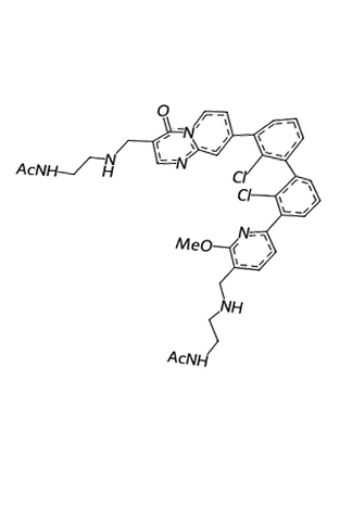 COc1nc(-c2cccc(-c3cccc(-c4ccn5c(=O)c(CNCCNC(C)=O)cnc5c4)c3Cl)c2Cl)ccc1CNCCNC(C)=O